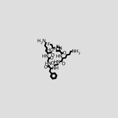 NCCCCC(NC(=O)CNC(=O)C(Cc1ccccc1)NC(=O)CNC(=O)C(CCCCN)NC(=O)c1cn(CCF)nn1)C(=O)O